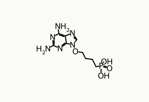 Nc1nc(N)c2ncn(OCCCCP(=O)(O)O)c2n1